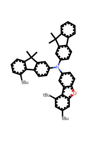 CC(C)(C)c1cc(C(C)(C)C)c2c(c1)oc1ccc(N(c3ccc4c(c3)C(C)(C)c3ccccc3-4)c3ccc4c(c3)C(C)(C)c3cccc(C(C)(C)C)c3-4)cc12